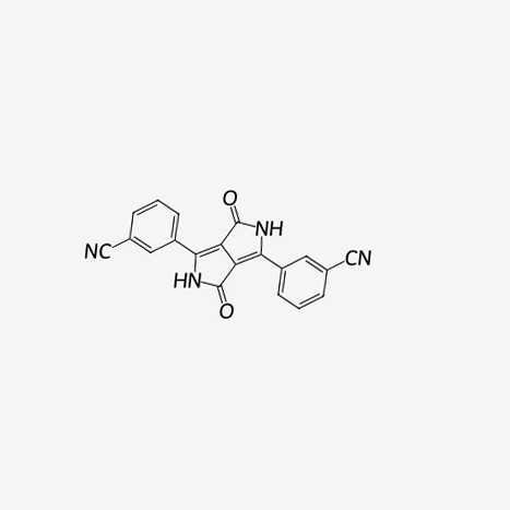 N#Cc1cccc(C2=C3C(=O)NC(c4cccc(C#N)c4)=C3C(=O)N2)c1